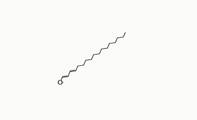 CCCCCCCCCCCCCC=CC=C[O]